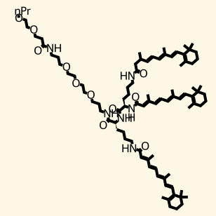 CCCOCCOCCC(=O)NCCCOCCOCCOCCCNC(=O)[C@@H](CCCCNC(=O)/C=C(C)/C=C/C=C(C)/C=C/C1=C(C)CCCC1(C)C)NC(=O)[C@@H](CCCCNC(=O)CC(C)/C=C/C=C(C)/C=C/C1=C(C)CCCC1(C)C)NC(=O)/C=C(C)/C=C/C=C(C)/C=C/C1=C(C)CCCC1(C)C